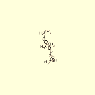 CC(S)CCCOc1ccc(C(C)(C)c2ccc(OCCOC(=O)CC(C)S)cc2)cc1